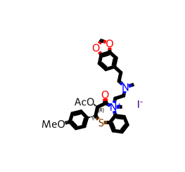 COc1ccc([C@H]2Sc3ccccc3[N+](C)(CCN(C)CCc3ccc4c(c3)OCO4)C(=O)[C@H]2OC(C)=O)cc1.[I-]